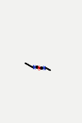 CCCCCCCCCCc1cnc(-c2ccc(OC(=O)c3ccc(-c4ncc(CCCCCC)cn4)cc3)cc2)nc1